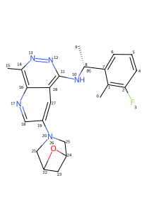 Cc1c(F)cccc1[C@@H](C)Nc1nnc(C)c2ncc(N3CC4CC(C3)O4)cc12